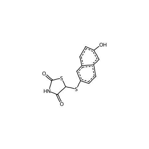 O=C1NC(=O)C(Sc2ccc3cc(O)ccc3c2)S1